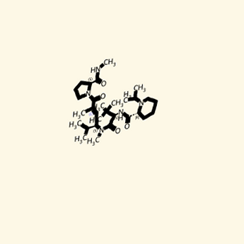 CNC(=O)[C@@H]1CCCN1C(=O)/C(C)=C/[C@H](C(C)C)N(C)C(=O)[C@@H](NC(=O)[C@H]1CCCCN1C(C)C)C(C)(C)C